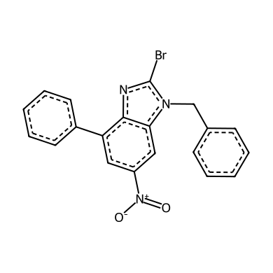 O=[N+]([O-])c1cc(-c2ccccc2)c2nc(Br)n(Cc3ccccc3)c2c1